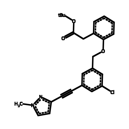 Cn1ccc(C#Cc2cc(Cl)cc(COc3ccccc3CC(=O)OC(C)(C)C)c2)n1